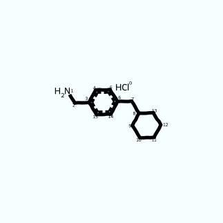 Cl.NCc1ccc(CC2CCCCC2)cc1